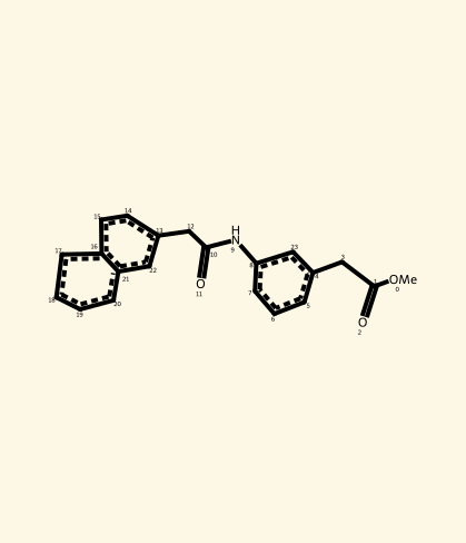 COC(=O)Cc1cccc(NC(=O)Cc2ccc3ccccc3c2)c1